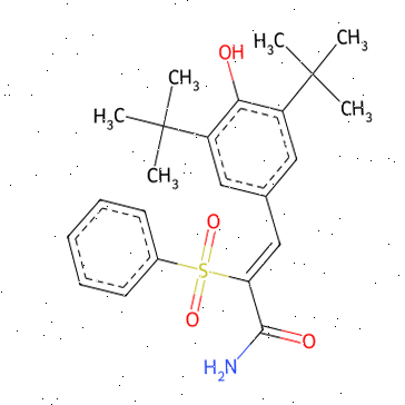 CC(C)(C)c1cc(C=C(C(N)=O)S(=O)(=O)c2ccccc2)cc(C(C)(C)C)c1O